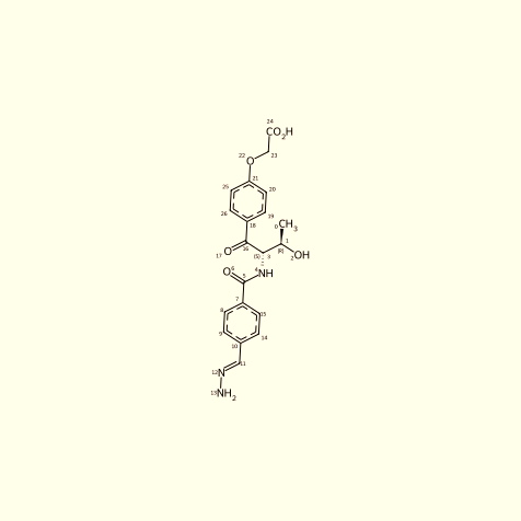 C[C@@H](O)[C@H](NC(=O)c1ccc(C=NN)cc1)C(=O)c1ccc(OCC(=O)O)cc1